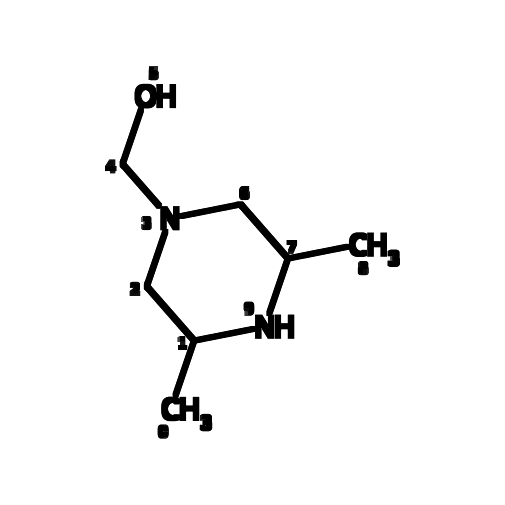 CC1CN(CO)CC(C)N1